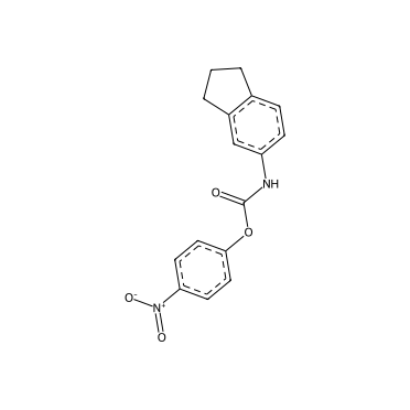 O=C(Nc1ccc2c(c1)CCC2)Oc1ccc([N+](=O)[O-])cc1